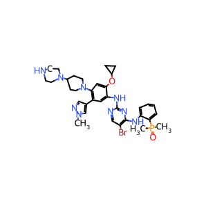 Cn1cc(-c2cc(Nc3ncc(Br)c(Nc4ccccc4P(C)(C)=O)n3)c(OC3CC3)cc2N2CCC(N3CCNCC3)CC2)cn1